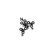 CC(C)(C)c1ccc2c(c1)c1ccccc1n2-c1ccc(-c2ccc(C#N)cc2)c(-c2nc(-c3ccccc3)nc(-c3cc(-n4c5ccccc5c5cc(C(C)(C)C)ccc54)ccc3C(F)(F)F)n2)c1